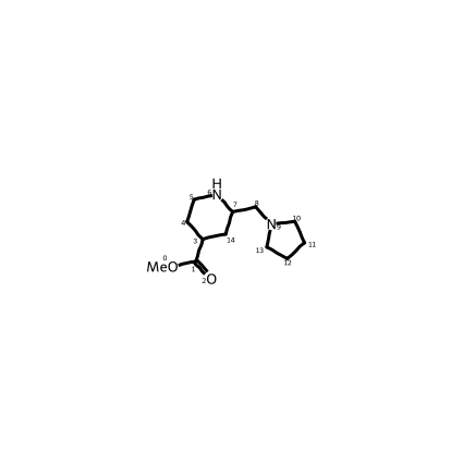 COC(=O)C1CCNC(CN2CCCC2)C1